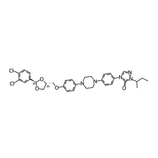 CCC(C)n1ncn(-c2ccc(N3CCN(c4ccc(OC[C@@H]5CO[C@@H](c6ccc(Cl)c(Cl)c6)O5)cc4)CC3)cc2)c1=O